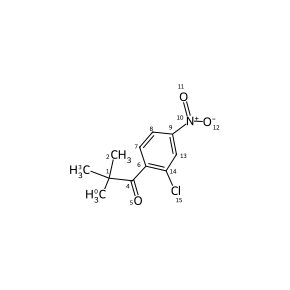 CC(C)(C)C(=O)c1ccc([N+](=O)[O-])cc1Cl